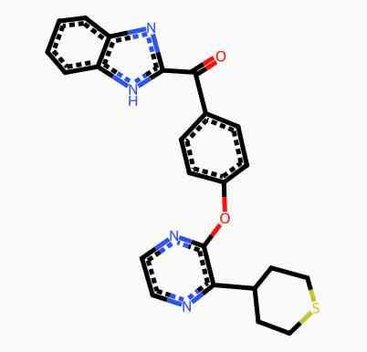 O=C(c1ccc(Oc2nccnc2C2CCSCC2)cc1)c1nc2ccccc2[nH]1